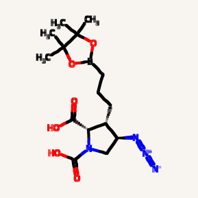 CC1(C)OB(CCC[C@@H]2[C@@H](N=[N+]=[N-])CN(C(=O)O)[C@@H]2C(=O)O)OC1(C)C